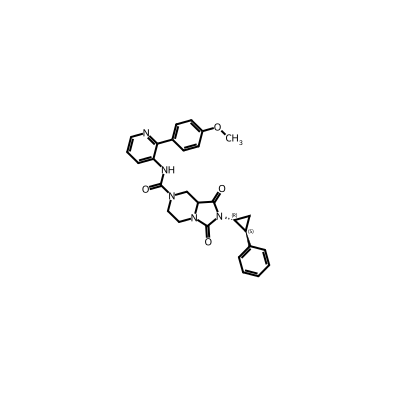 COc1ccc(-c2ncccc2NC(=O)N2CCN3C(=O)N([C@@H]4C[C@H]4c4ccccc4)C(=O)C3C2)cc1